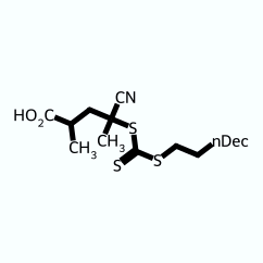 CCCCCCCCCCCCSC(=S)SC(C)(C#N)CC(C)C(=O)O